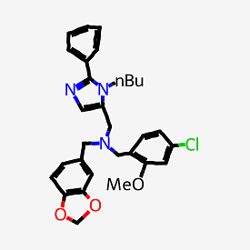 CCCCn1c(CN(Cc2ccc3c(c2)OCO3)Cc2ccc(Cl)cc2OC)cnc1-c1ccccc1